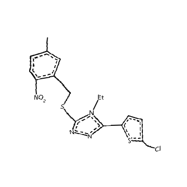 CCn1c(SCc2cc(C)ccc2[N+](=O)[O-])nnc1-c1ccc(Cl)s1